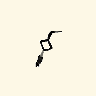 CC[C@H]1C[C@H](C#N)C1